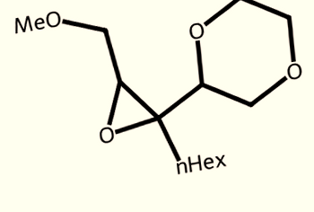 CCCCCCC1(C2COCCO2)OC1COC